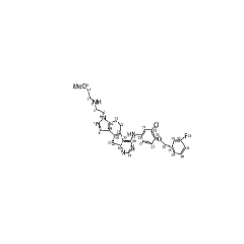 COCCNCCn1ncc2c1CCc1c-2sc2ncnc(Nc3ccc(OCc4cccc(F)c4)c(Cl)c3)c12